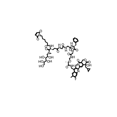 Cc1cc2c(CNC(=O)[C@H](C)OCNC(=O)CNC(=O)[C@H](Cc3ccccc3)NC(=O)CNC(=O)CNC(=O)CC[C@H](NC(=O)CCCCCN3C(=O)C=CC3=O)C(=O)N(C)C[C@H](O)[C@@H](O)[C@H](O)[C@H](O)CO)c3c(nc2cc1F)-c1cc2c(c(=O)n1C3)COC(=O)[C@]2(O)CC1CC1